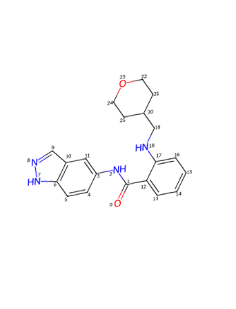 O=C(Nc1ccc2[nH]ncc2c1)c1ccccc1NCC1CCOCC1